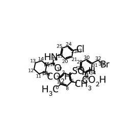 Cc1ccc(S(=O)(=O)O)c(C)c1.O=C(O)[C@H]1CCCC[C@H]1C(=O)Nc1ccc(Cl)cc1.O=C(O)c1cccc(CBr)c1